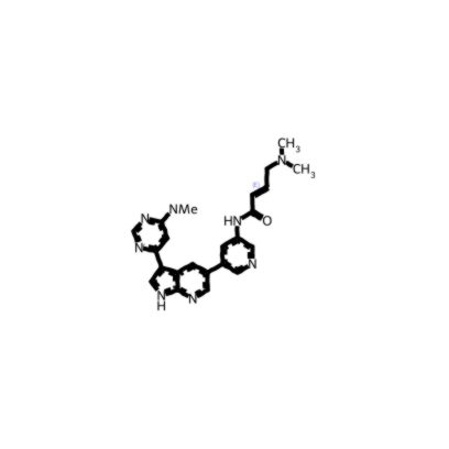 CNc1cc(-c2c[nH]c3ncc(-c4cncc(NC(=O)/C=C/CN(C)C)c4)cc23)ncn1